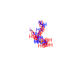 O=C(O)CC1CCN(CC(=O)O)CCN(CC(=O)O)CCN(CC(=O)O)C(Cc2ccc(NC(=S)NCCCC[C@H](NC(=O)CCOCCOCCOCCNC(=O)COc3ccc4c(C(=O)NCC(=O)N5CCCC5)ccnc4c3)C(=O)N[C@@H](CCCCNC(=O)CCCc3ccc(I)cc3)C(=O)O)cc2)C1